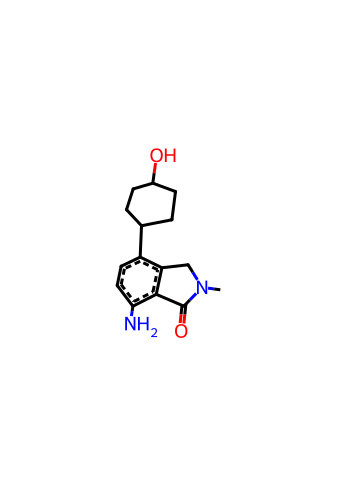 CN1Cc2c(C3CCC(O)CC3)ccc(N)c2C1=O